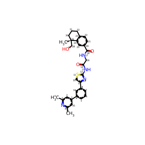 Cc1cc(-c2cccc(-c3csc(NC(=O)CNC(=O)c4ccc5c(c4)[C@](C)(CO)CCC5)n3)c2)cc(C)n1